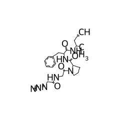 C#CCC(C)NC(=O)C(Cc1ccccc1)NC(=O)C1CCCN1C(=O)CNC(=O)CN=[N+]=[N-]